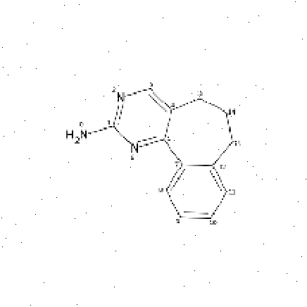 Nc1ncc2c(n1)-c1ccccc1CCC2